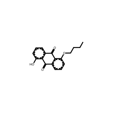 CCCCOc1cccc2c1C(=O)c1cccc(O)c1C2=O